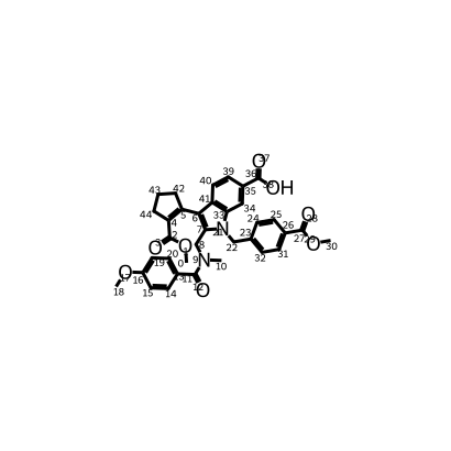 COC(=O)C1=C(c2c(CN(C)C(=O)c3ccc(OC)cc3)n(Cc3ccc(C(=O)OC)cc3)c3cc(C(=O)O)ccc23)CCC1